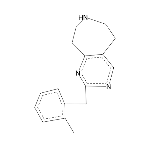 Cc1ccccc1Cc1ncc2c(n1)CCNCC2